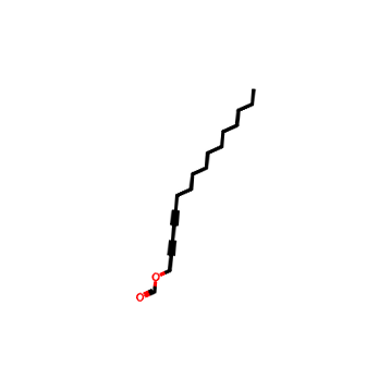 CCCCCCCCCCCC#CC#CCOC=O